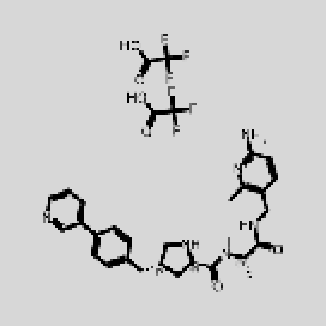 Cc1nc(N)ccc1CNC(=O)[C@H](C)NC(=O)[C@H]1C[C@H](Cc2ccc(-c3cccnc3)cc2)CN1.O=C(O)C(F)(F)F.O=C(O)C(F)(F)F